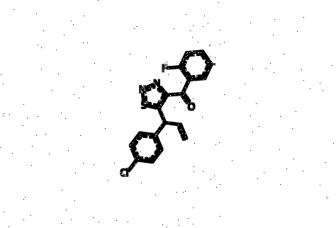 C=CC(c1ccc(Cl)cc1)c1snnc1C(=O)c1c[c]ccc1F